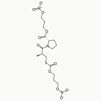 C[C@H](CSC(=O)OCCCO[N+](=O)[O-])C(=O)N1CCC[C@H]1C(=O)OCCCO[N+](=O)[O-]